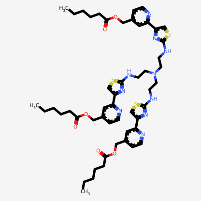 CCCCCC(=O)OCc1ccnc(-c2csc(NCCN(CCNc3nc(-c4cc(COC(=O)CCCCC)ccn4)cs3)CCNc3nc(-c4cc(COC(=O)CCCCC)ccn4)cs3)n2)c1